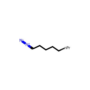 CCCCCCCC=[N+]=[N-]